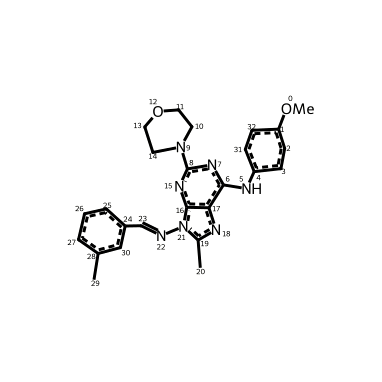 COc1ccc(Nc2nc(N3CCOCC3)nc3c2nc(C)n3N=Cc2cccc(C)c2)cc1